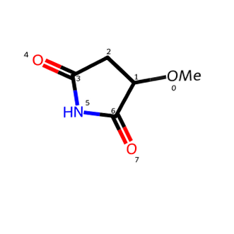 COC1CC(=O)NC1=O